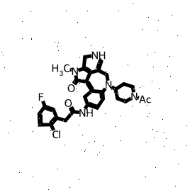 CC(=O)N1CCC(N2CC3=CNCC4=C3C(=C3CC(NC(=O)Cc5cc(F)ccc5Cl)=CC=C32)C(=O)N4C)CC1